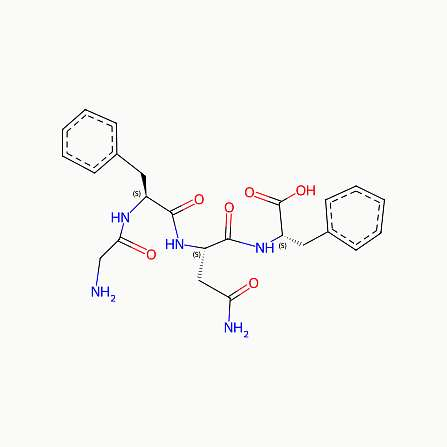 NCC(=O)N[C@@H](Cc1ccccc1)C(=O)N[C@@H](CC(N)=O)C(=O)N[C@@H](Cc1ccccc1)C(=O)O